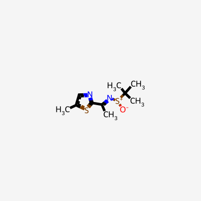 CC(=N[S+]([O-])C(C)(C)C)c1ncc(C)s1